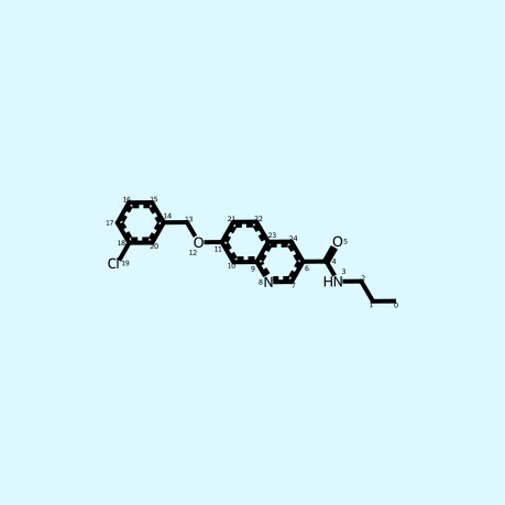 CCCNC(=O)c1cnc2cc(OCc3cccc(Cl)c3)ccc2c1